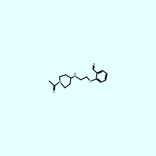 CC(=O)N1CCC(NCCSc2ccccc2C=O)CC1